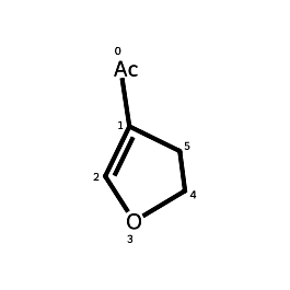 CC(=O)C1=COCC1